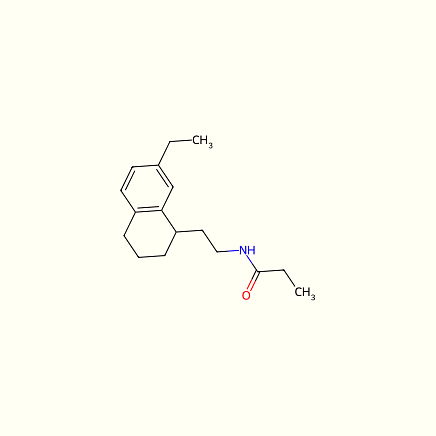 CCC(=O)NCCC1CCCc2ccc(CC)cc21